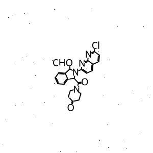 O=CC1c2ccccc2C(C(=O)N2CCC(=O)CC2)N1c1ccc2ccc(Cl)nc2n1